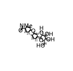 CNC(=O)c1ccc(Oc2cccc([C@H]3O[C@H](CO)[C@@H](O)[C@H](O)[C@H]3O)c2)cc1